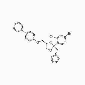 Clc1cc(Br)ccc1[C@]1(Cn2ccnc2)OC[C@@H](COc2ccc(-c3ccccc3)cc2)O1